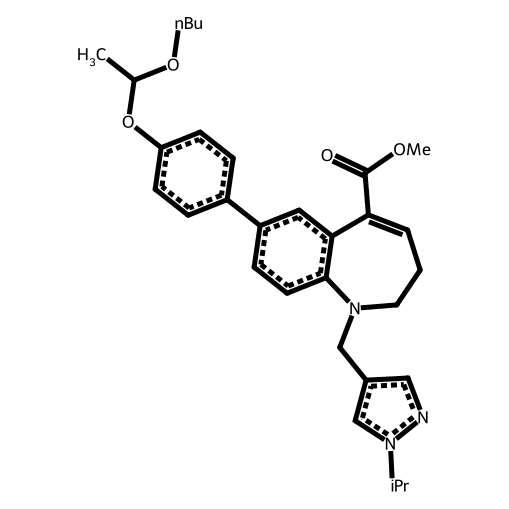 CCCCOC(C)Oc1ccc(-c2ccc3c(c2)C(C(=O)OC)=CCCN3Cc2cnn(C(C)C)c2)cc1